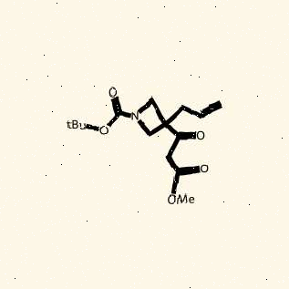 C=CCC1(C(=O)CC(=O)OC)CN(C(=O)OC(C)(C)C)C1